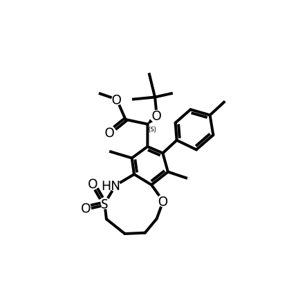 COC(=O)[C@@H](OC(C)(C)C)c1c(C)c2c(c(C)c1-c1ccc(C)cc1)OCCCCS(=O)(=O)N2